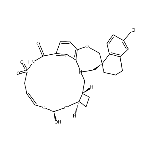 O=C1NS(=O)(=O)C/C=C\C[C@H](O)C[C@@H]2CC[C@H]2CN2C[C@@]3(CCCc4cc(Cl)ccc43)COc3ccc1cc32